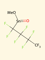 C[O][Sn](=[O])[C](F)(F)C(F)(F)C(F)(F)C(F)(F)F